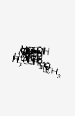 COC(=O)CCc1cccc(-c2ccc(O)c3c2C[C@]2(C)C[C@]4(C)C(C(C)C)C(O)=C(C(C)=O)C(=O)[C@]4(O)C(O)=C2C3=O)c1